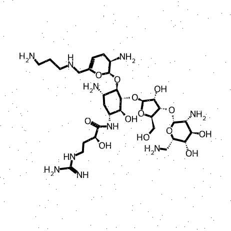 N=C(N)NCC[C@H](O)C(=O)N[C@@H]1C[C@H](N)[C@@H](O[C@H]2OC(CNCCCN)=CC[C@H]2N)[C@H](O[C@@H]2O[C@H](CO)[C@@H](O[C@H]3O[C@@H](CN)[C@@H](O)[C@H](O)[C@H]3N)[C@H]2O)[C@H]1O